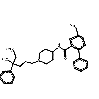 COc1ccc(-c2ccccc2)c(C(=O)NC2CCN(CCCC(C)(CC(=O)O)c3ccccc3)CC2)c1